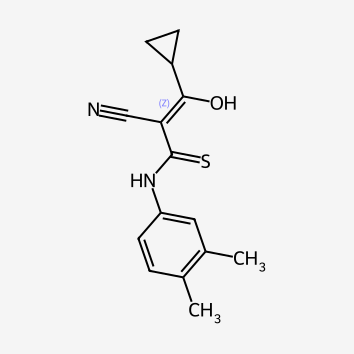 Cc1ccc(NC(=S)/C(C#N)=C(\O)C2CC2)cc1C